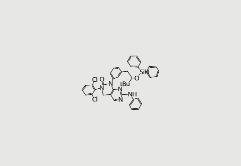 CC(C)(C)C(Cc1cccc(N2C(=O)N(c3c(Cl)cccc3Cl)Cc3cnc(Nc4ccccc4)nc32)c1)O[SiH](c1ccccc1)c1ccccc1